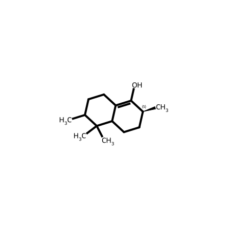 CC1CCC2=C(O)[C@@H](C)CCC2C1(C)C